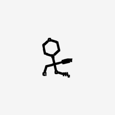 N#CC(CCl)(OP)N1CCOCC1